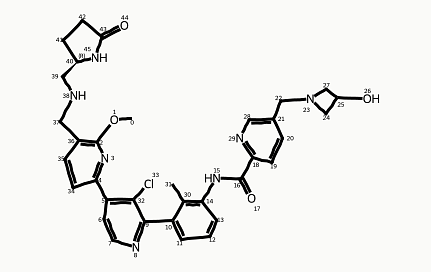 COc1nc(-c2ccnc(-c3cccc(NC(=O)c4ccc(CN5CC(O)C5)cn4)c3C)c2Cl)ccc1CNC[C@H]1CCC(=O)N1